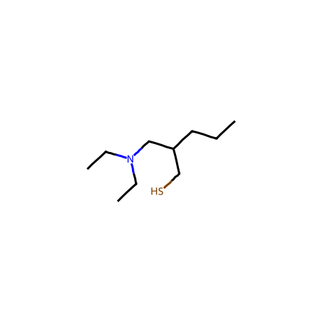 CCCC(CS)CN(CC)CC